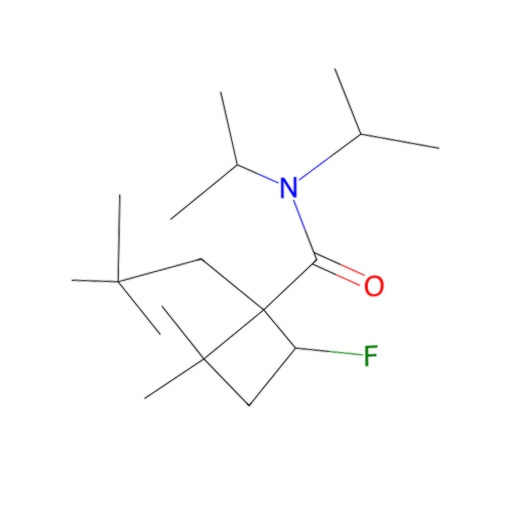 CC(C)N(C(=O)C1(CC(C)(C)C)C(F)CC1(C)C)C(C)C